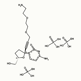 NCCOCCOCC#C[C@]1(n2ccc(N)nc2=O)CC[C@@H](CO)O1.O=P(O)(O)O.O=P(O)(O)O.O=P(O)(O)O